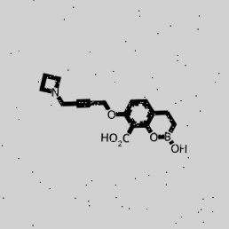 O=C(O)c1c(OCC#CCN2CCC2)ccc2c1OB(O)CC2